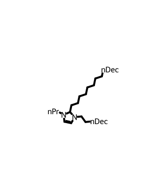 CCCCCCCCCCCCCCCCCCC1N(CCC)C=CN1CCCCCCCCCCCC